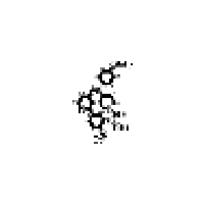 CCOc1ccc(-c2cc(CN(c3ccc(OC)cc3)C3CCN(C(=O)OC(C)(C)C)CC3)ccn2)cc1